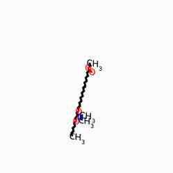 CCCCCCOCC(COCCCCCCCCC=CCCCCCC(=O)OCC)N(C)C